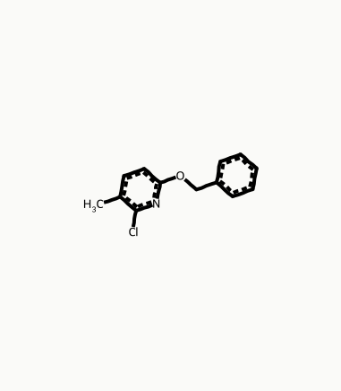 Cc1ccc(OCc2ccccc2)nc1Cl